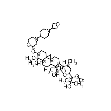 CCO[C@@H](C1C[C@@H](C)[C@H]2C(O1)[C@H](O)[C@@]1(C)C3CC[C@H]4C(C)(C)[C@@H](O[C@H]5CN(C6CCN(C7COC7)CC6)CCO5)CCC45C[C@@]35CC[C@]21C)C(C)(C)O